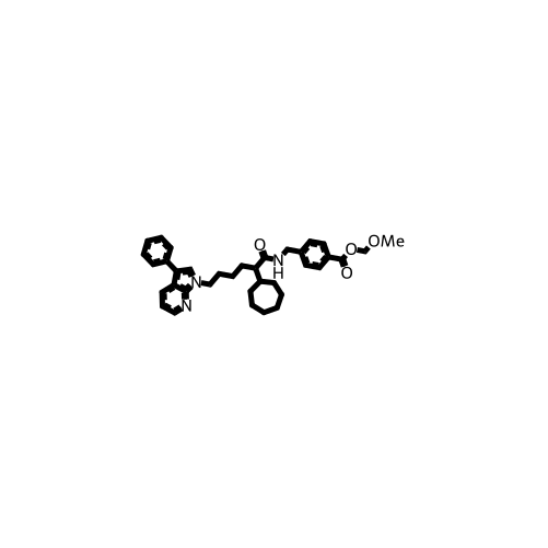 COCOC(=O)c1ccc(CNC(=O)C(CCCCn2cc(-c3ccccc3)c3cccnc32)C2CCCCCC2)cc1